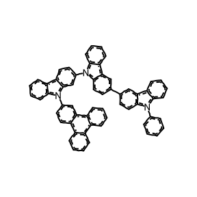 c1ccc(-n2c3ccccc3c3cc(-c4ccc5c(c4)c4ccccc4n5-c4ccc5c6ccccc6n(-c6ccc7c8ccccc8c8ccccc8c7c6)c5c4)ccc32)cc1